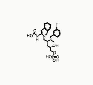 CN(Cc1cccc(F)c1)[C@@H](C[C@@H](O)COP(=O)(O)O)CN1Cc2ccccc2C=C1NC(=O)O